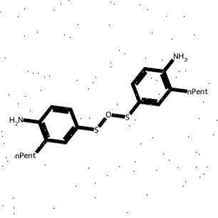 CCCCCc1cc(SOSc2ccc(N)c(CCCCC)c2)ccc1N